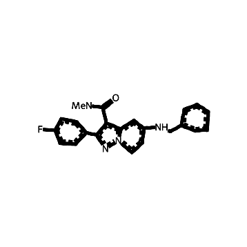 CNC(=O)c1c(-c2ccc(F)cc2)nn2ccc(NCc3ccccc3)cc12